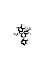 CCOC(=O)C1=CNC(C)=C(C(=O)OCC)C1[N+]1(CCO)CCN(c2ccccc2Cl)CC1C